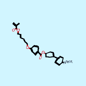 C=C(C)C(=O)OCCCCCCOc1ccc(C(=O)OC2CCC(C3CCC(CCCCC)CC3)CC2)cc1